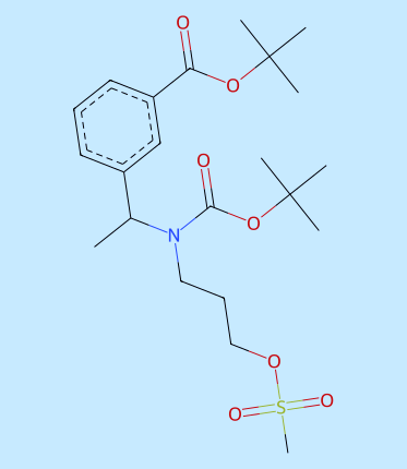 CC(c1cccc(C(=O)OC(C)(C)C)c1)N(CCCOS(C)(=O)=O)C(=O)OC(C)(C)C